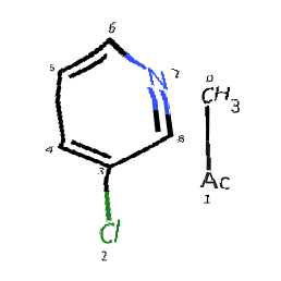 CC(C)=O.Clc1cccnc1